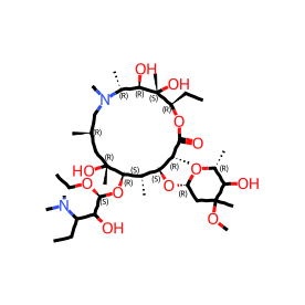 CCO[C@@H](O[C@@H]1[C@@H](C)[C@H](O[C@H]2CC(C)(OC)C(O)[C@@H](C)O2)[C@@H](C)C(=O)O[C@H](CC)[C@@](C)(O)[C@H](O)[C@@H](C)N(C)C[C@H](C)C[C@@]1(C)O)C(O)C(CC)N(C)C